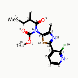 CSCC(C)C(=O)N(C(=O)OC(C)(C)C)c1sc(-c2cccnc2F)nc1C